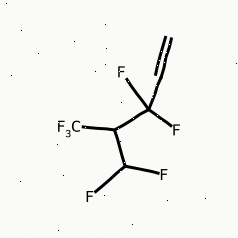 C=CC(F)(F)C(C(F)F)C(F)(F)F